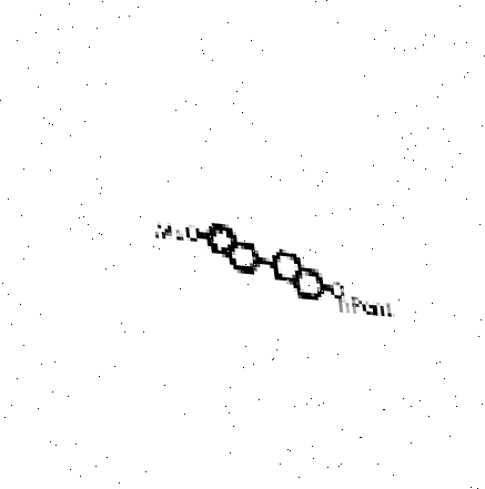 CCCCCOC1CCC2CC(C3CCc4cc(OC)ccc4C3)CCC2C1